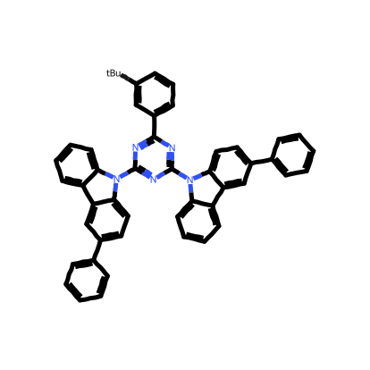 CC(C)(C)c1cccc(-c2nc(-n3c4ccccc4c4cc(-c5ccccc5)ccc43)nc(-n3c4ccccc4c4cc(-c5ccccc5)ccc43)n2)c1